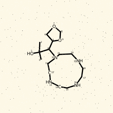 CC(C)(O)C(C1COCO1)N1CCNCCNCCNCC1